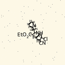 CCOC(=O)CC(Nc1nc(Cl)c(C#N)cc1F)C(C)(C)c1ccccn1